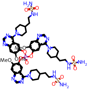 COc1cc2ncnc(N3CCC(CCNS(N)(=O)=O)CC3)c2cc1OP(=O)(Oc1cc2c(N3CCC(CCNS(N)(=O)=O)CC3)ncnc2cc1OC)Oc1cc2c(N3CCC(CCNS(N)(=O)=O)CC3)ncnc2cc1OC